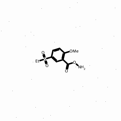 CCS(=O)(=O)c1ccc(OC)c(C(=O)ON)c1